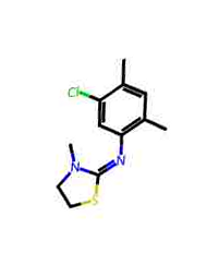 Cc1cc(C)c(N=C2SCCN2C)cc1Cl